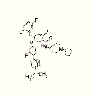 CC(C)c1ccc(-c2ccc(Oc3cc(C(=O)NC4CCN(C5CCCC5)CC4)c(F)cc3Cn3cc(F)ccc3=O)cc2F)nn1